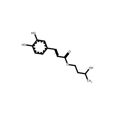 CC(O)CCOC(=O)/C=C/c1ccc(O)c(O)c1